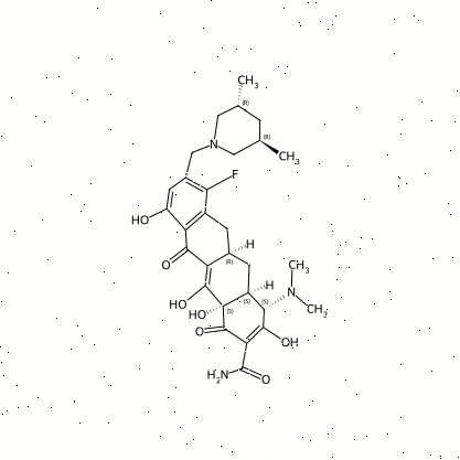 C[C@@H]1C[C@@H](C)CN(Cc2cc(O)c3c(c2F)C[C@H]2C[C@H]4[C@H](N(C)C)C(O)=C(C(N)=O)C(=O)[C@@]4(O)C(O)=C2C3=O)C1